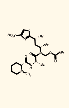 CCCC(=O)OCN(C(=O)[C@@H](NC(=O)[C@H]1CCCCN1C)[C@@H](C)CC)[C@H](C[C@@H](O)c1nc(C(=O)O)cs1)C(C)C